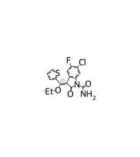 C[CH]O/C(=C1\C(=O)N(C(N)=O)c2cc(Cl)c(F)cc21)c1cccs1